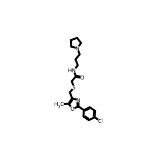 Cc1oc(-c2ccc(Cl)cc2)nc1CSCC(=O)NCCCN1CCCC1